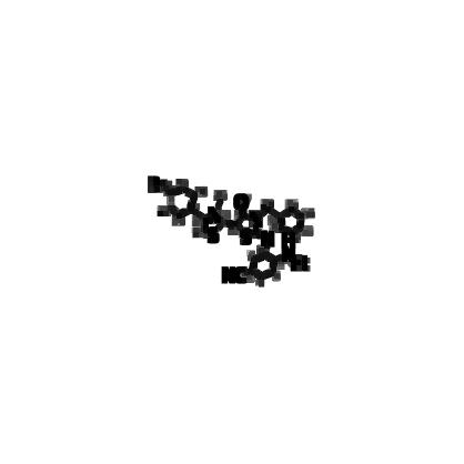 CCNc1ccc(C#N)cc1N=C1SC(=C2SC=C(c3ccc(Br)cc3)N2C)C(=O)N1Cc1ccccc1